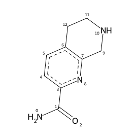 NC(=O)c1ccc2c(n1)CNCC2